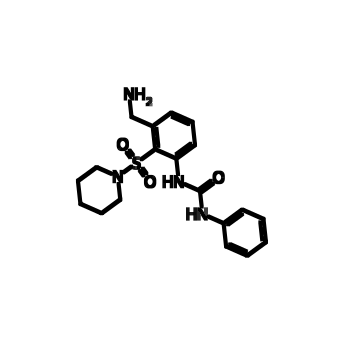 NCc1cccc(NC(=O)Nc2ccccc2)c1S(=O)(=O)N1CCCCC1